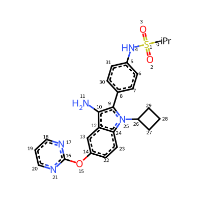 CC(C)S(=O)(=O)Nc1ccc(-c2c(N)c3cc(Oc4ncccn4)ccc3n2C2CCC2)cc1